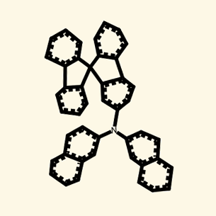 c1ccc2c(c1)-c1ccccc1C21c2ccccc2-c2ccc(N(c3ccc4ccccc4c3)c3ccc4ccccc4c3)cc21